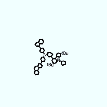 CC(C)(C)c1ccc2c3c(-c4cccc(N(c5ccc(-c6ccc7c(ccc8ccccc87)c6)cc5)c5ccc(-c6cccc7ccccc67)cc5)c4)cc(C(C)(C)C)cc3n(-c3ccccc3)c2c1